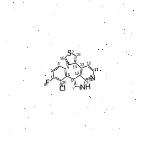 Fc1cccc(-c2c[nH]c3nccc(-c4ccsc4)c23)c1Cl